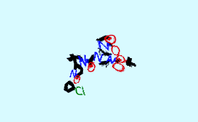 C[C@@H]1CN(CC(=O)N2CC(C)(C)c3cnc(Oc4ccccc4Cl)cc32)[C@@H](CN2CCOC2=O)CN1C(=O)OC(C)(C)C